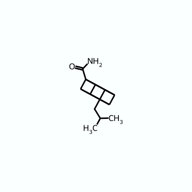 CC(C)CC12C3C4C1C1C2C3C41C(N)=O